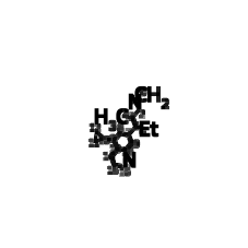 C=NC/C(C)=C(\CC)c1cc(C2CC2)c2cccnc2c1